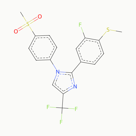 CSc1ccc(-c2nc(C(F)(F)F)cn2-c2ccc(S(C)(=O)=O)cc2)cc1F